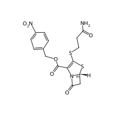 NC(=O)CCSC1=C(C(=O)OCc2ccc([N+](=O)[O-])cc2)N2C(=O)C[C@H]2S1